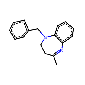 CC1=Nc2ccccc2N(Cc2ccccc2)CC1